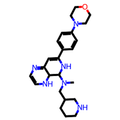 CN(CC1CCCNC1)C1NC(c2ccc(N3CCOCC3)cc2)=CC2=NC=CNC21